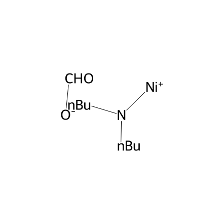 CCCC[N]([Ni+])CCCC.O=C[O-]